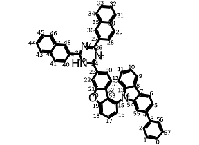 c1ccc(-c2ccc3c4ccccc4n(-c4cccc5oc6cc(C7=NC(c8ccc9ccccc9c8)=NC(c8ccc9ccccc9c8)N7)ccc6c45)c3c2)cc1